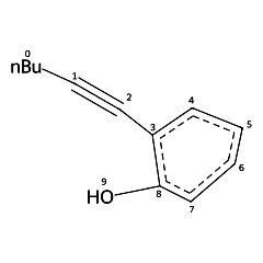 CCCCC#Cc1ccccc1O